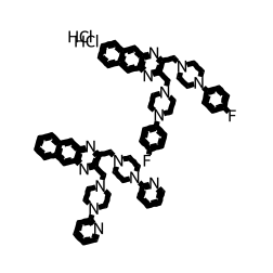 Cl.Cl.Fc1ccc(N2CCN(Cc3nc4cc5ccccc5cc4nc3CN3CCN(c4ccc(F)cc4)CC3)CC2)cc1.c1ccc(N2CCN(Cc3nc4cc5ccccc5cc4nc3CN3CCN(c4ccccn4)CC3)CC2)nc1